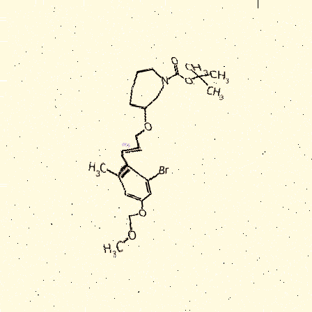 COCOc1cc(C)c(/C=C/COC2CCCCN(C(=O)OC(C)(C)C)C2)c(Br)c1